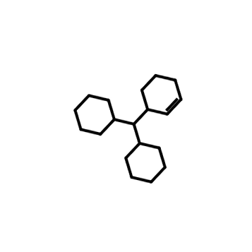 C1=CC(C(C2CCCCC2)C2CCCCC2)CCC1